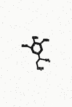 COc1cc(C(N)CC(=O)O)cc(OC)c1OC